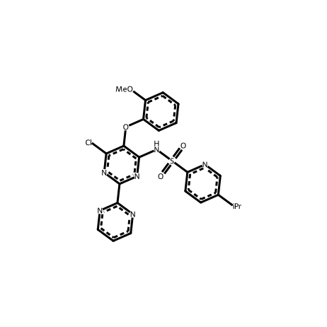 COc1ccccc1Oc1c(Cl)nc(-c2ncccn2)nc1NS(=O)(=O)c1ccc(C(C)C)cn1